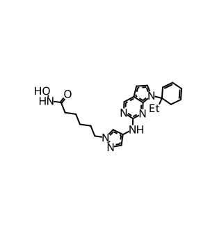 CCC1(n2ccc3cnc(Nc4cnn(CCCCCC(=O)NO)c4)nc32)C=CC=CC1